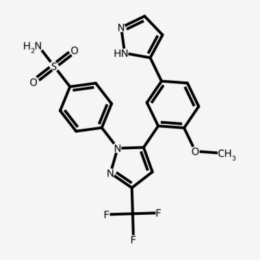 COc1ccc(-c2ccn[nH]2)cc1-c1cc(C(F)(F)F)nn1-c1ccc(S(N)(=O)=O)cc1